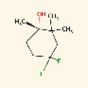 CC1(C)CC(F)(F)CC[C@]1(C)O